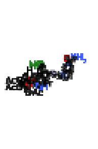 CC(=O)OC[C@H]1O[C@@H](Oc2n[nH]c(C(C)C)c2Cc2ccc(/C=C/CCN3CCCC4(CCN(C(=O)CN)CC4)C3)cc2C)[C@H](OC(C)=O)[C@@H](OC(C)=O)[C@@H]1OC(C)=O.Cl.Cl